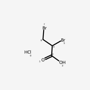 Cl.O=C(O)C(Br)CBr